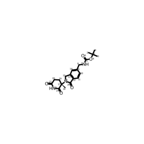 CC(C)(C)OC(=O)NCc1ccc2c(c1)CN([C@@]1(C)CCC(=O)NC1=O)C2=O